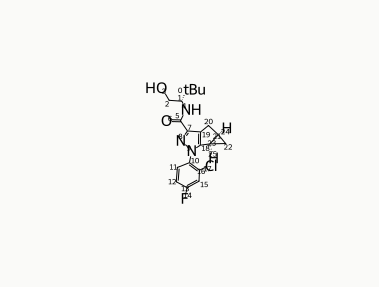 CC(C)(C)[C@@H](CO)NC(=O)c1nn(-c2ccc(F)cc2Cl)c2c1C[C@H]1C[C@@H]21